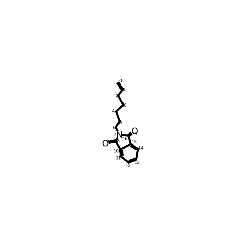 C=CCCCCCN1C(=O)c2ccccc2C1=O